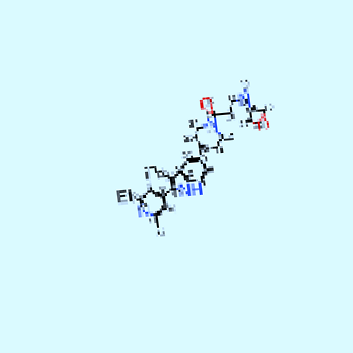 CCc1cc(-c2[nH]c3ccc(C4CCN(C(=O)CCN(C)C5COC5)CC4)cc3c2C(C)C)cc(C)n1